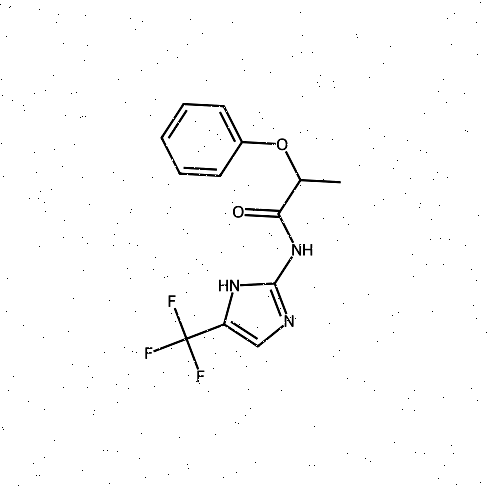 CC(Oc1ccccc1)C(=O)Nc1ncc(C(F)(F)F)[nH]1